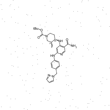 CC(C)(C)OC(=O)N1CC[C@@H](Nc2cc(Nc3ccc(Cn4cccn4)cc3)ncc2C(N)=O)[C@@H](F)C1